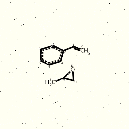 C=Cc1ccccc1.[CH2]C1CO1